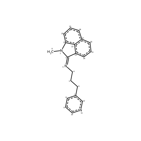 CN1/C(=N/CCCc2cccnc2)c2cccc3cccc1c23